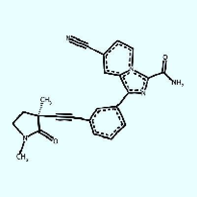 CN1CC[C@@](C)(C#Cc2cccc(-c3nc(C(N)=O)n4ccc(C#N)cc34)c2)C1=O